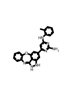 Cc1ccccc1Nc1cc(-c2cc3c4c(c2)Oc2ccccc2N=C4NN3)nc(N)n1